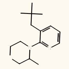 CC1COCCN1c1ncccc1CC(C)(C)C